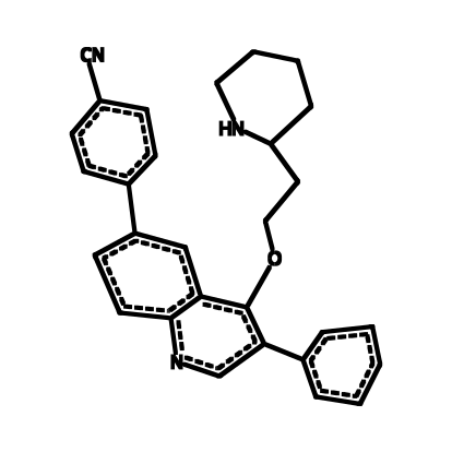 N#Cc1ccc(-c2ccc3ncc(-c4ccccc4)c(OCCC4CCCCN4)c3c2)cc1